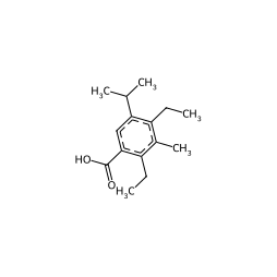 CCc1c(C(=O)O)cc(C(C)C)c(CC)c1C